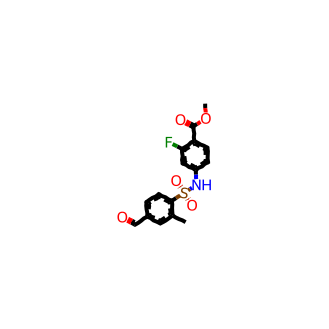 COC(=O)c1ccc(NS(=O)(=O)c2ccc(C=O)cc2C)cc1F